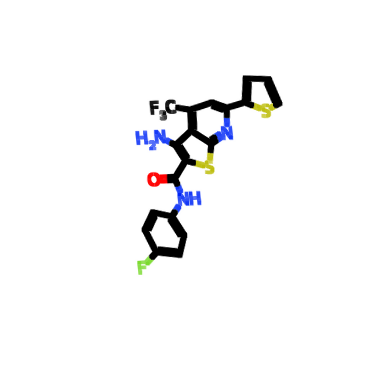 Nc1c(C(=O)Nc2ccc(F)cc2)sc2nc(-c3cccs3)cc(C(F)(F)F)c12